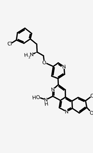 COc1cc2ncc3c(NO)nc(-c4cncc(OC[C@@H](N)Cc5cccc(Cl)c5)c4)cc3c2cc1OC